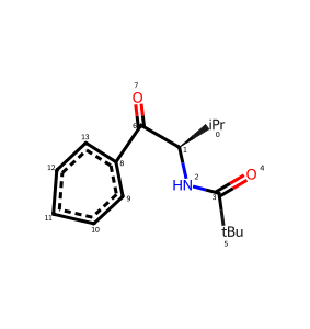 CC(C)[C@@H](NC(=O)C(C)(C)C)C(=O)c1ccccc1